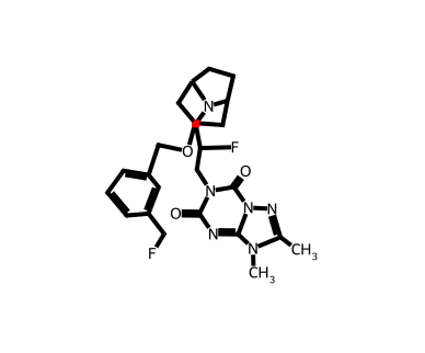 Cc1nn2c(=O)n(CC(F)CN3C4CCC3CC(OCc3cccc(CF)c3)C4)c(=O)nc2n1C